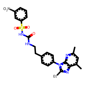 CCc1nc2c(C)cc(C)nc2n1-c1ccc(CCNC(=O)NS(=O)(=O)c2cccc([N+](=O)[O-])c2)cc1